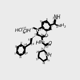 CN(c1ccc(C(=N)N)cc1)[C@@H](CCc1ccccc1)C(=O)NC(=O)[C@H]1CCCCN1.Cl.Cl